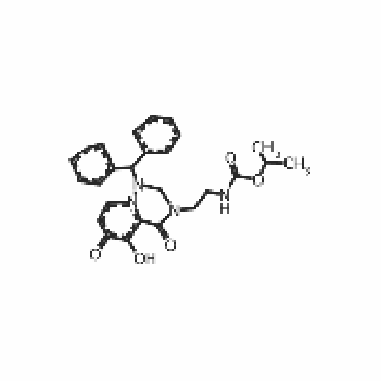 CC(C)OC(=O)NCCN1CN(C(c2ccccc2)c2ccccc2)n2ccc(=O)c(O)c2C1=O